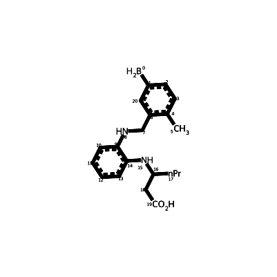 Bc1ccc(C)c(CNc2ccccc2NC(CCC)CC(=O)O)c1